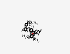 CNC(=O)OC1CCN(c2cc(F)ccc2Nc2cc(F)c(S(=O)(=O)N(Cc3ccc(OC)cc3OC)c3ncc(F)cn3)cc2Cl)C1